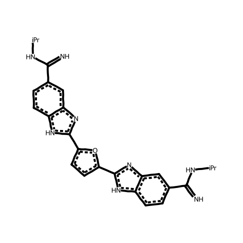 CC(C)NC(=N)c1ccc2[nH]c(-c3ccc(-c4nc5cc(C(=N)NC(C)C)ccc5[nH]4)o3)nc2c1